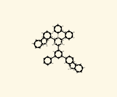 c1ccc(-c2cc(-c3ccc4c(c3)sc3ccccc34)cc(-c3nc(-c4ccccc4-c4ccccc4)nc(-c4cccc5c4sc4ccccc45)n3)c2)cc1